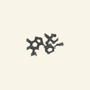 CC[C@]12COC(C1OP(O)(=S)OI)[C@H](n1cnc3c(=O)[nH]c(N)nc31)O2